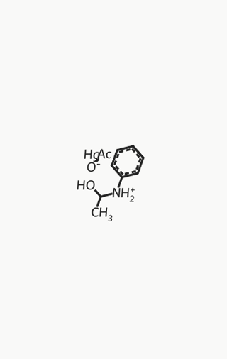 CC(=O)[O-].CC(O)[NH2+]c1ccccc1.[Hg]